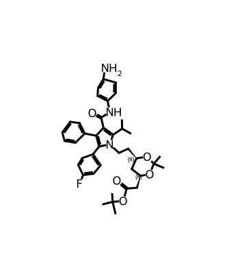 CC(C)c1c(C(=O)Nc2ccc(N)cc2)c(-c2ccccc2)c(-c2ccc(F)cc2)n1CC[C@@H]1C[C@H](CC(=O)OC(C)(C)C)OC(C)(C)O1